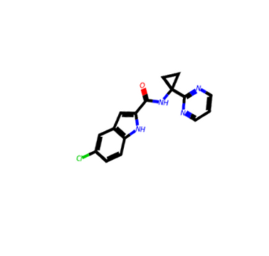 O=C(NC1(c2ncccn2)CC1)c1cc2cc(Cl)ccc2[nH]1